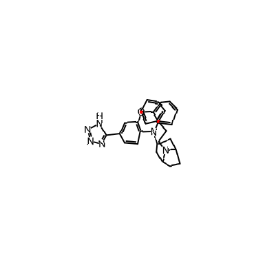 c1ccc(CCN2C3CCC2CC(N2c4ccccc4Oc4cc(-c5nnn[nH]5)ccc42)C3)cc1